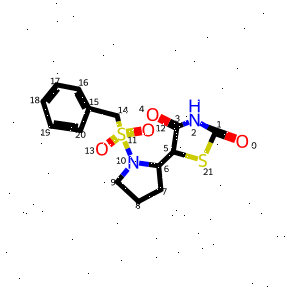 O=C1NC(=O)C(C2CCCN2S(=O)(=O)Cc2ccccc2)S1